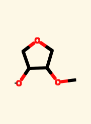 COC1COCC1[O]